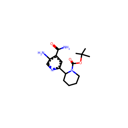 CC(C)(C)OC(=O)N1CCCCC1c1cc(C(N)=O)c(N)cn1